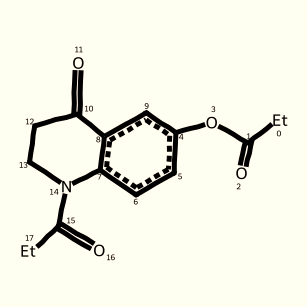 CCC(=O)Oc1ccc2c(c1)C(=O)CCN2C(=O)CC